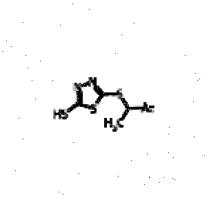 CC(=O)C(C)Sc1nnc(S)s1